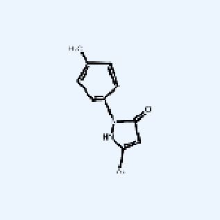 CC(=O)c1cc(=O)n(-c2ccc(C)cc2)[nH]1